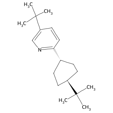 CC(C)(C)c1ccc([C@H]2CC[C@H](C(C)(C)C)CC2)nc1